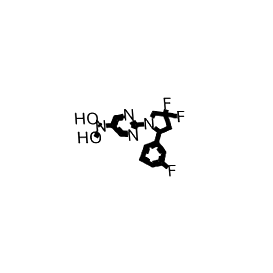 ON(O)c1cnc(N2CC(F)(F)CC2c2cccc(F)c2)nc1